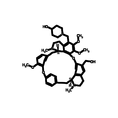 COc1ccc2cc1Oc1ccc(cc1)C[C@H]1c3cc(c(CO)cc3CCN1C)Oc1c(OC)c(OC)c(CN3CCC(O)CC3)c3c1[C@H](C2)N(C)CC3